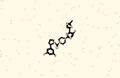 Cc1ncc(-c2nc(N3CCN(C(=O)N4N=CCC4c4cc(F)cc(F)c4)CC3)ncc2F)s1